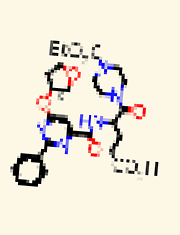 CCOC(=O)N1CCN(C(=O)C(CCC(=O)O)NC(=O)c2cc(O[C@H]3CCOC3)nc(-c3ccccc3)n2)CC1